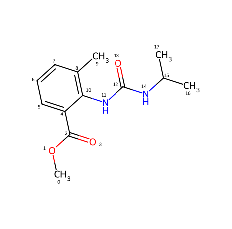 COC(=O)c1cccc(C)c1NC(=O)NC(C)C